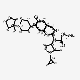 CC1C(N(C(=O)OC(C)(C)C)c2ncc3cc(Cl)c(C4CCN(C5(C)CCOC5)CC4)cc3n2)C=NN1C1CC1